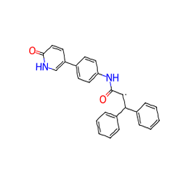 O=C([CH]C(c1ccccc1)c1ccccc1)Nc1ccc(-c2ccc(=O)[nH]c2)cc1